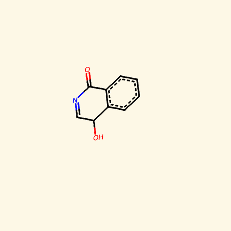 O=C1N=CC(O)c2ccccc21